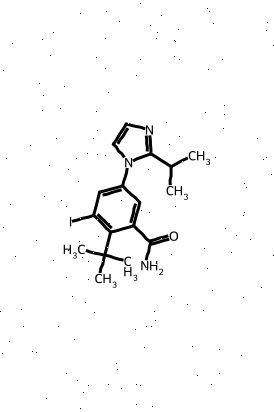 CC(C)c1nccn1-c1cc(I)c(C(C)(C)C)c(C(N)=O)c1